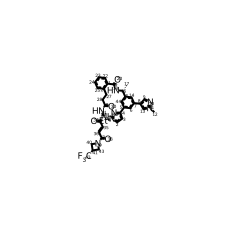 CCn1ccc(-c2cc(-c3cnn(C)c3)cc([C@@H](C)NC(=O)c3ccccc3CCC(=O)NNC(=O)/C=C/C(=O)N3CC(C(F)(F)F)C3)c2)n1